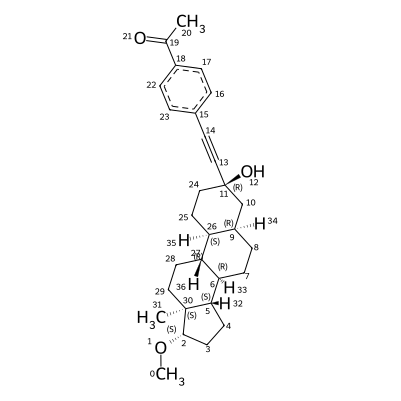 CO[C@H]1CC[C@H]2[C@@H]3CC[C@@H]4C[C@@](O)(C#Cc5ccc(C(C)=O)cc5)CC[C@@H]4[C@H]3CC[C@]12C